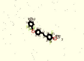 CCCCc1ccc(C(F)(F)Oc2ccc(CCc3cc(F)c(OC(F)(F)F)c(F)c3)cc2)c(F)c1